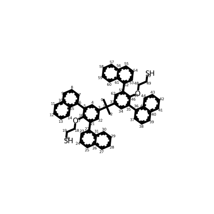 CC(C)(c1cc(-c2cccc3ccccc23)c(OCCS)c(-c2cccc3ccccc23)c1)c1cc(-c2cccc3ccccc23)c(OCCS)c(-c2cccc3ccccc23)c1